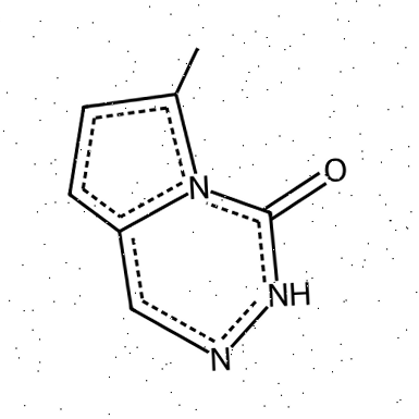 Cc1ccc2cn[nH]c(=O)n12